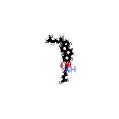 CC(C)CCCNC(=O)O[C@H]1CC[C@@]2(C)C(=CCC3C4CCC(C(C)CCCC(C)C)[C@@]4(C)CCC32)C1